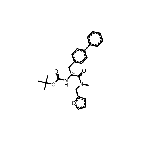 CN(Cc1ccco1)C(=O)[C@H](Cc1ccc(-c2ccccc2)cc1)NC(=O)OC(C)(C)C